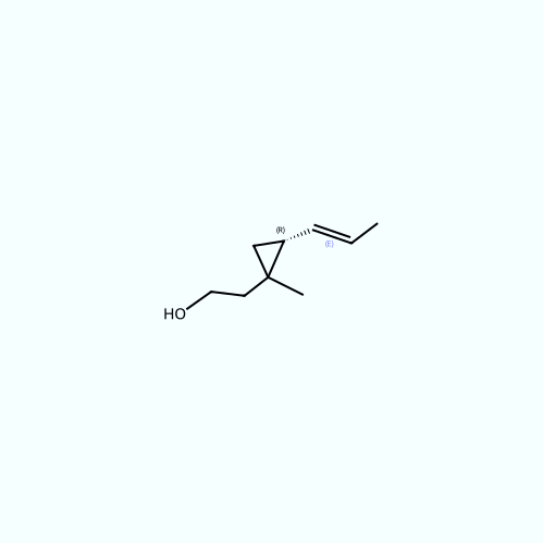 C/C=C/[C@H]1CC1(C)CCO